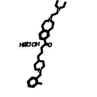 CCN(CC)CCN1CCc2ccc(C(=O)CCCC3CCN(Cc4ccccc4C)CC3)cc2CC1.Cl.Cl.Cl